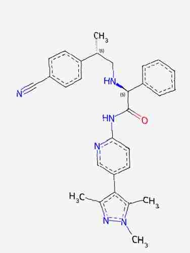 Cc1nn(C)c(C)c1-c1ccc(NC(=O)[C@@H](NC[C@@H](C)c2ccc(C#N)cc2)c2ccccc2)nc1